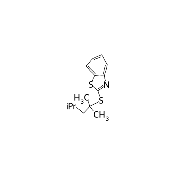 CC(C)CC(C)(C)Sc1nc2ccccc2s1